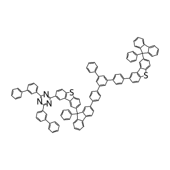 c1ccc(-c2cc(-c3ccc(-c4ccc5c(c4)C(c4ccccc4)(c4ccc6sc7ccc(-c8nc(-c9cccc(-c%10ccccc%10)c9)nc(-c9cccc(-c%10ccccc%10)c9)n8)cc7c6c4)c4ccccc4-5)cc3)cc(-c3ccc(-c4ccc5sc6ccc(C7(c8ccccc8)c8ccccc8-c8ccccc87)cc6c5c4)cc3)c2)cc1